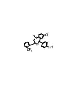 CN1CC(Cc2ccccc2C(F)(F)F)N=C(c2ccc(O)cc2)c2cc(Cl)ccc21